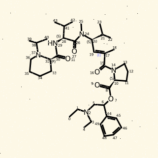 CCN(CC)CC(OC(=O)[C@@H]1CCCN1C(=O)/C(C)=C/[C@H](C(C)C)N(C)C(=O)[C@@H](NC(=O)[C@H]1CCCCN1C(C)C)C(C)C)c1ccccc1